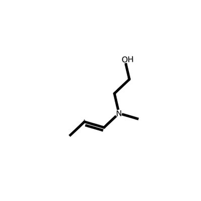 C/[C]=C/N(C)CCO